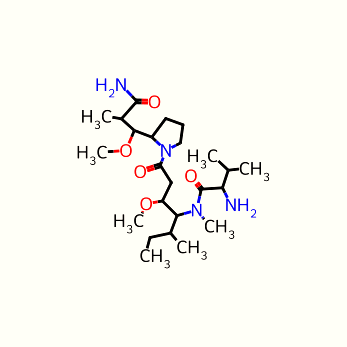 CCC(C)C(C(CC(=O)N1CCCC1C(OC)C(C)C(N)=O)OC)N(C)C(=O)C(N)C(C)C